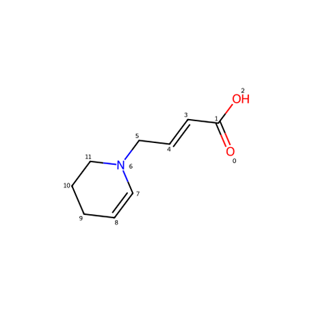 O=C(O)/C=C/CN1C=CCCC1